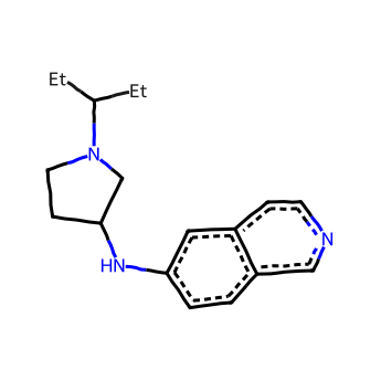 CCC(CC)N1CCC(Nc2ccc3cnccc3c2)C1